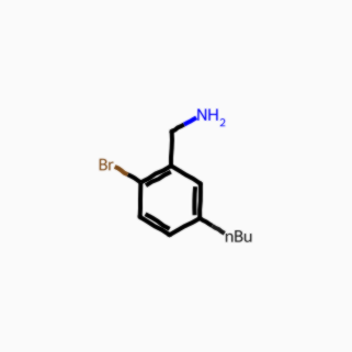 CCCCc1ccc(Br)c(CN)c1